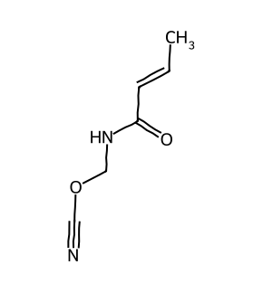 CC=CC(=O)NCOC#N